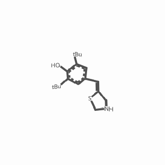 CC(C)(C)c1cc(C=C2CNCS2)cc(C(C)(C)C)c1O